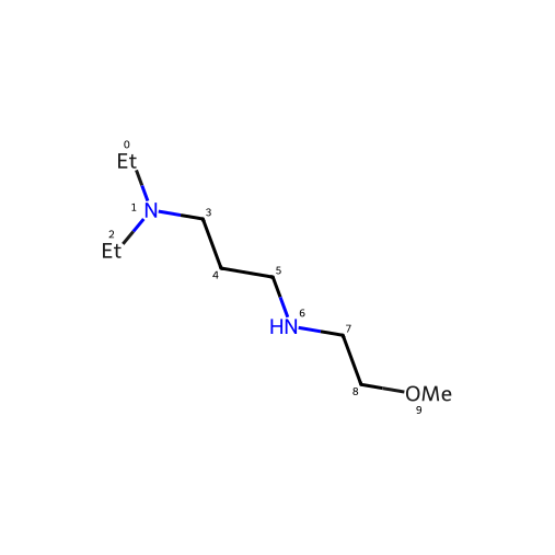 CCN(CC)CCCNCCOC